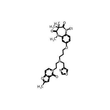 CCN1C(=O)C(C)(C)C(=O)N(C)c2cc(OCCCN(CCn3ccc4oc(C)cc4c3=O)Cc3cocn3)ccc21